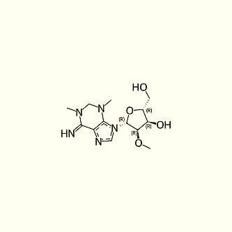 CO[C@@H]1[C@H](O)[C@@H](CO)O[C@H]1n1cnc2c1N(C)CN(C)C2=N